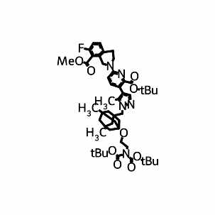 COC(=O)c1c(F)ccc2c1CN(c1ccc(-c3cnn(CC45CC6(C)CC(C)(C4)CC(OCCN(C(=O)OC(C)(C)C)C(=O)OC(C)(C)C)(C6)C5)c3C)c(C(=O)OC(C)(C)C)n1)CC2